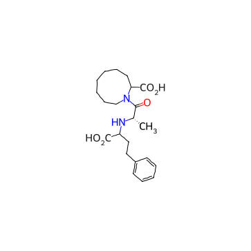 C[C@H](NC(CCc1ccccc1)C(=O)O)C(=O)N1CCCCCCCC1C(=O)O